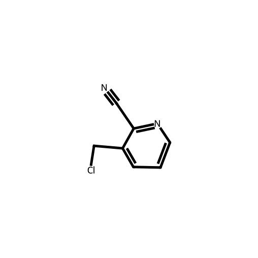 N#Cc1ncccc1CCl